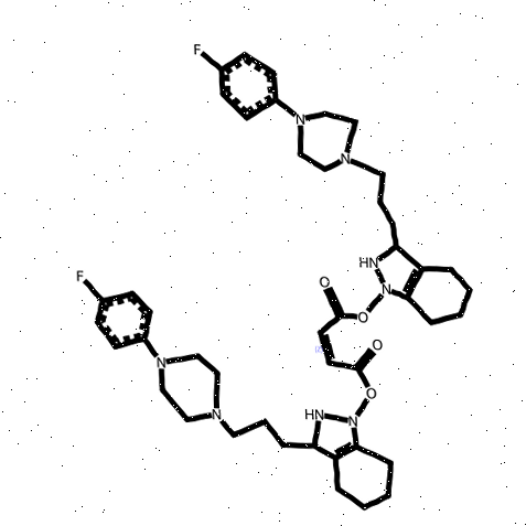 O=C(/C=C\C(=O)ON1NC(CCCN2CCN(c3ccc(F)cc3)CC2)C2=C1CCCC2)ON1NC(CCCN2CCN(c3ccc(F)cc3)CC2)C2=C1CCCC2